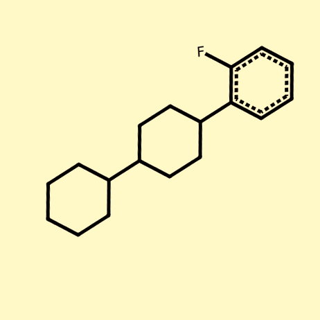 Fc1ccccc1C1CCC(C2CCCCC2)CC1